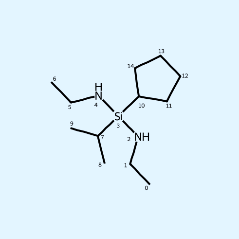 CCN[Si](NCC)(C(C)C)C1CCCC1